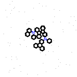 C1=CC2c3ccc(N(C4CC=CCC4)C4CC=C5C6=C(CCCC6)C6CCC=CC6C5C4)cc3C3(C4=C(CCCC4)C4C(N(C5=CCCC=C5)C5CC=CC6=C5CCC=C6)=CCCC43)C2C=C1